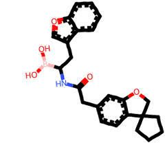 O=C(Cc1ccc2c(c1)OCC21CCCC1)NC(Cc1coc2ccccc12)B(O)O